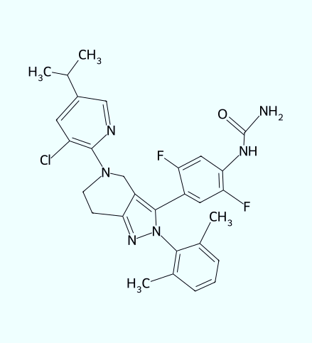 Cc1cccc(C)c1-n1nc2c(c1-c1cc(F)c(NC(N)=O)cc1F)CN(c1ncc(C(C)C)cc1Cl)CC2